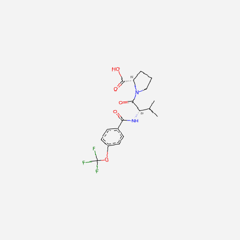 CC(C)[C@H](NC(=O)c1ccc(OC(F)(F)F)cc1)C(=O)N1CCC[C@H]1C(=O)O